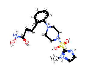 Cn1ccnc1S(=O)(=O)N1CCN(c2ccccc2/C=C/C(=O)NO)CC1